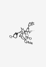 COC(=O)CN1CC(NC(=O)Nc2ccc(Cl)cc2)C(c2c(F)cc(OC)cc2F)CC1=O